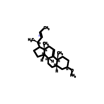 C/C=C/[C@@H](C)C1CC[C@H]2[C@@H]3CC[C@@H]4C[C@H](OP)CC[C@]4(C)C3=CC[C@]12C